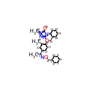 CC(=NOCc1ccccc1)c1ccc(OCc2ccccc2-n2nnn(C)c2=O)c(C)c1